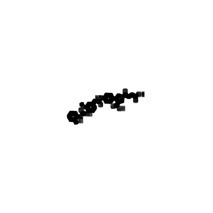 COc1cc(CC(=O)Nc2ccc(C3CN(C(=O)CCC(=O)O)CC3C(=O)O)cc2)ccc1NC(=O)Nc1ccccc1C